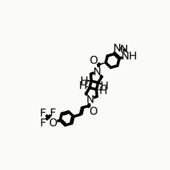 O=C(/C=C/c1ccc(OC(F)(F)F)cc1)N1C[C@@H]2[C@H](C1)[C@H]1CN(C(=O)[C@@H]3CCc4[nH]nnc4C3)C[C@@H]21